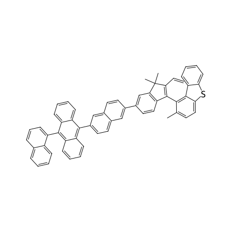 C=CC1=C(c2c(C)ccc3sc4ccccc4c23)c2ccc(-c3ccc4cc(-c5c6ccccc6c(-c6cccc7ccccc67)c6ccccc56)ccc4c3)cc2C1(C)C